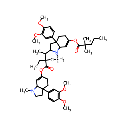 CCCC(C)(C)C(=O)OC1=CC2N(C)C(C(C)C(C)(CC)C(=O)OC3=CC4N(C)CCC4(c4ccc(OC)c(OC)c4)CC3)CC2(c2ccc(OC)c(OC)c2)CC1